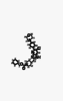 O=C(OCc1ccccc1)N1CCC(Cc2nc3nc(-c4ccc(N5CCOCC5)cc4)c(Cl)cc3[nH]2)CC1